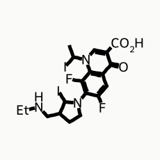 CCNCC1CCN(c2c(F)cc3c(=O)c(C(=O)O)cn(C(C)I)c3c2F)C1I